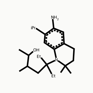 CCC(CC)(CC(C)C(C)O)N1c2cc(C(C)C)c(N)cc2CCC1(C)C